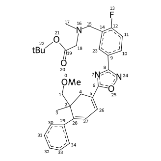 COCC1(C)CC(c2nc(-c3ccc(F)c(CN(C)CC(=O)OC(C)(C)C)c3)no2)=CC=C1c1ccccc1